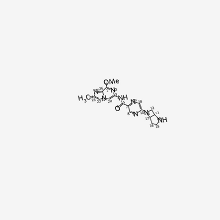 COc1nc(NC(=O)c2cnc(N3CC4NCCC43)cn2)cn2cc(C)nc12